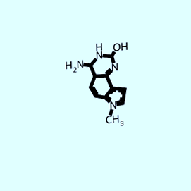 Cn1ccc2c1C=CC1C2=NC(O)NC1N